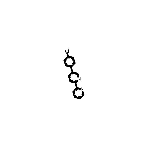 Clc1ccc(-c2ccc(-c3ccccn3)nc2)cc1